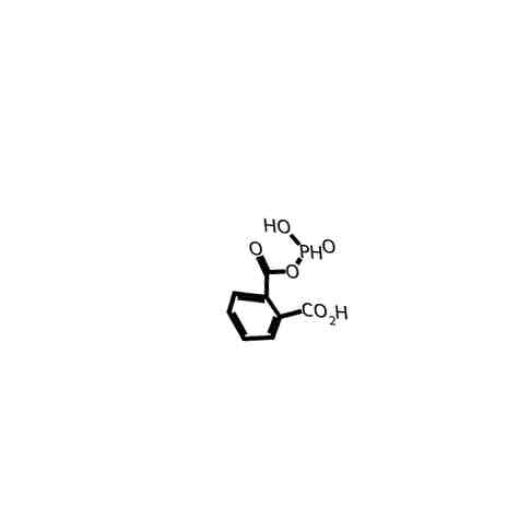 O=C(O)c1ccccc1C(=O)O[PH](=O)O